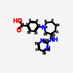 O=C(O)c1ccc(N2CCCC[C@H](Nc3ncccn3)C2)cc1